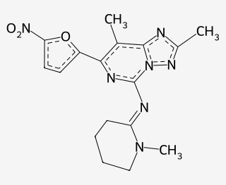 Cc1nc2c(C)c(-c3ccc([N+](=O)[O-])o3)nc(N=C3CCCCN3C)n2n1